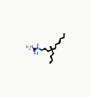 CCCCCCC(C)(CCCC)CCCNC(=N)N